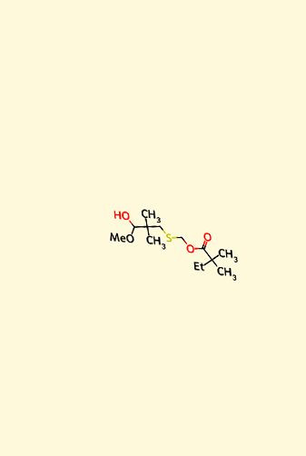 CCC(C)(C)C(=O)OCSCC(C)(C)C(O)OC